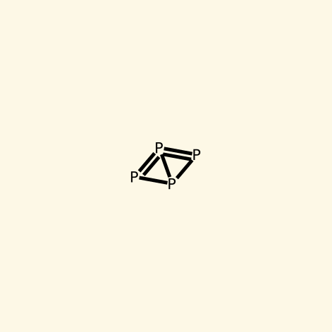 P1=P2=PP12